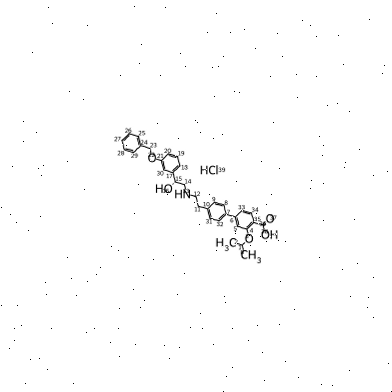 CC(C)Oc1cc(-c2ccc(CCNC[C@H](O)c3cccc(OCc4ccccc4)c3)cc2)ccc1C(=O)O.Cl